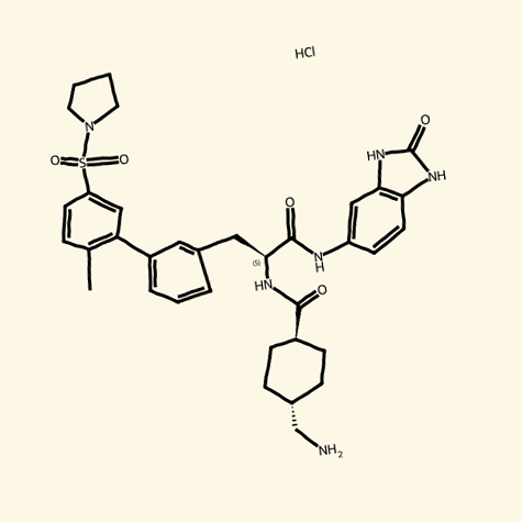 Cc1ccc(S(=O)(=O)N2CCCC2)cc1-c1cccc(C[C@H](NC(=O)[C@H]2CC[C@H](CN)CC2)C(=O)Nc2ccc3[nH]c(=O)[nH]c3c2)c1.Cl